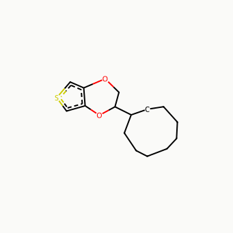 c1scc2c1OCC(C1CCCCCCCC1)O2